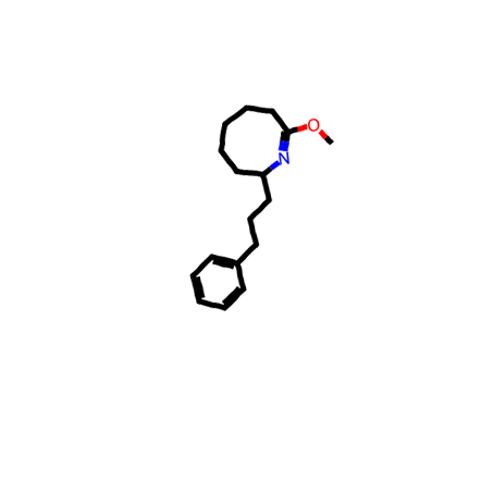 COC1=NC(CCCc2ccccc2)CCCCC1